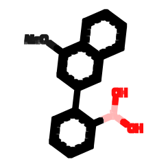 COc1cc(-c2ccccc2B(O)O)cc2ccccc12